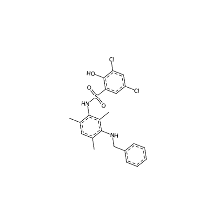 Cc1cc(C)c(NS(=O)(=O)c2cc(Cl)cc(Cl)c2O)c(C)c1NCc1ccccc1